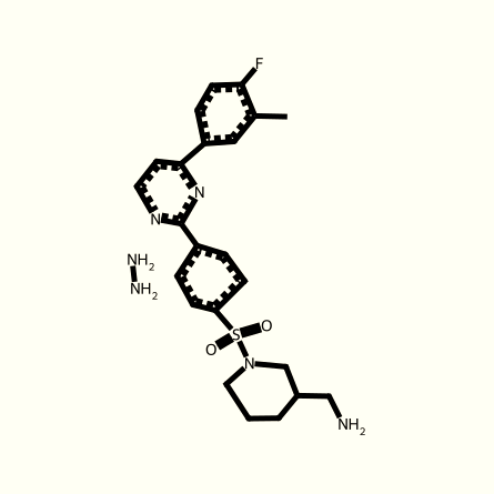 Cc1cc(-c2ccnc(-c3ccc(S(=O)(=O)N4CCCC(CN)C4)cc3)n2)ccc1F.NN